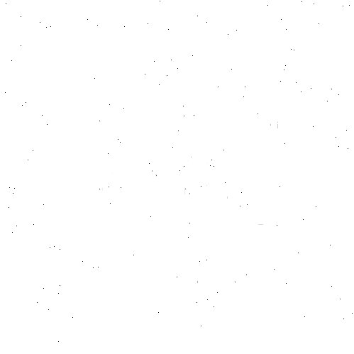 CC#CCC1(CC#CC)OC(N2CCC3(CC2)OCc2ccccc23)=NC1=O